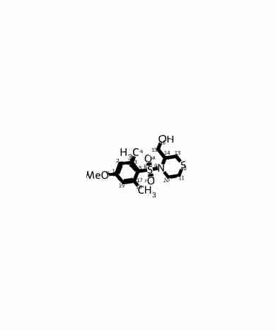 COc1cc(C)c(S(=O)(=O)N2CCSCC2CO)c(C)c1